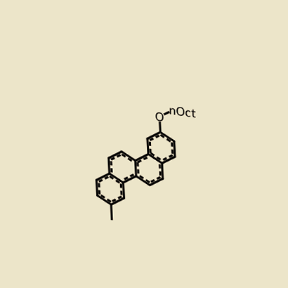 CCCCCCCCOc1ccc2ccc3c4cc(C)ccc4ccc3c2c1